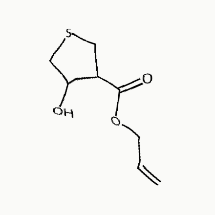 C=CCOC(=O)C1CSCC1O